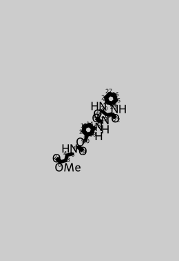 COC(=O)CCCNC(=O)OCc1cccc(NC(=O)NC2C(=O)Nc3ccccc3NC2=O)c1